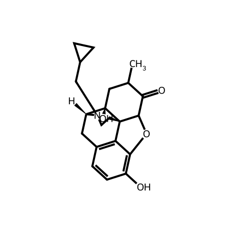 CC1C[C@@]2(O)[C@H]3Cc4ccc(O)c5c4[C@@]2(CCN3CC2CC2)C(O5)C1=O